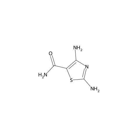 NC(=O)c1sc(N)nc1N